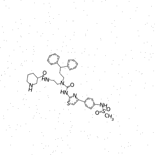 CS(=O)(=O)Nc1ccc(-c2csc(NC(=O)N(CCNC(=O)C3CCCNC3)CCC(c3ccccc3)c3ccccc3)n2)cc1